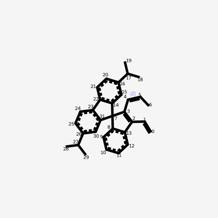 C=CC1=C(/C=C\C)C2(c3ccccc31)c1cc(C(C)C)ccc1-c1ccc(C(C)C)cc12